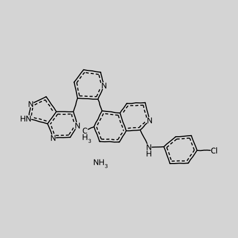 Cc1ccc2c(Nc3ccc(Cl)cc3)nccc2c1-c1ncccc1-c1ncnc2[nH]ncc12.N